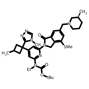 CCN(C(=O)OC(C)(C)C)c1cc(C2(c3nncn3C)CC(C)C2)cc(N2Cc3c(SC)cc(CN4CCC[C@H](C)C4)cc3C2=O)n1